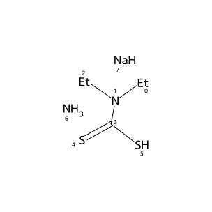 CCN(CC)C(=S)S.N.[NaH]